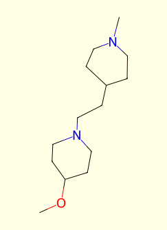 COC1CCN(CCC2CCN(C)CC2)CC1